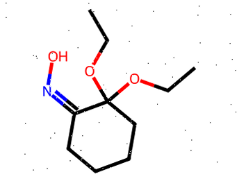 CCOC1(OCC)CCCCC1=NO